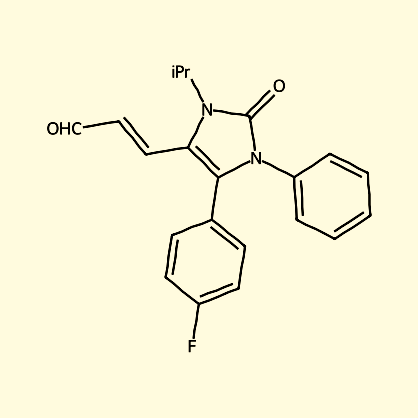 CC(C)n1c(/C=C/C=O)c(-c2ccc(F)cc2)n(-c2ccccc2)c1=O